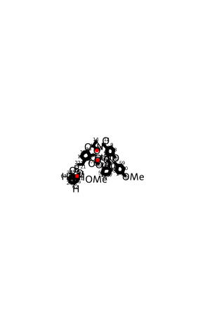 COc1ccc(COc2ccc(C(=O)N3CC(Oc4ccc(CCB5O[C@@H]6C[C@@H]7C[C@@H](C7(C)C)[C@]6(C)O5)c(OC(=O)OC(C)(C)C)c4C(=O)OC(C)(C)C)C3)cc2OCc2ccc(OC)cc2)cc1